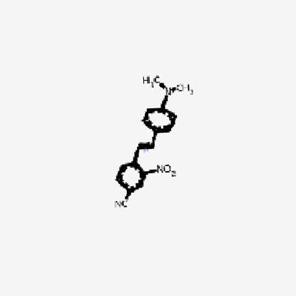 CN(C)c1ccc(/C=C/c2ccc(C#N)cc2[N+](=O)[O-])cc1